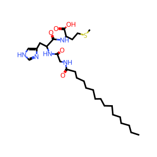 CCCCCCCCCCCCCCCC(=O)NCC(=O)NC(Cc1c[nH]cn1)C(=O)NC(CCSC)C(=O)O